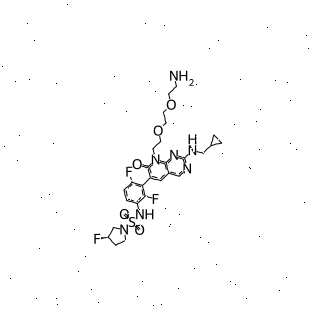 NCCOCCOCCn1c(=O)c(-c2c(F)ccc(NS(=O)(=O)N3CC[C@@H](F)C3)c2F)cc2cnc(NCC3CC3)nc21